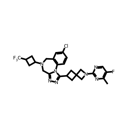 Cc1nc(N2CC3(CC(c4nnc5n4-c4ccc(Cl)cc4CN(C4CC(C(F)(F)F)C4)C5)C3)C2)ncc1F